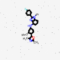 COc1cc(Nc2cccc3c2nc(-c2ccc(F)cc2)n3C(C)C)ccc1-c1oc(C)nc1C